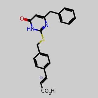 O=C(O)/C=C/c1ccc(CSc2nc(Cc3ccccc3)cc(=O)[nH]2)cc1